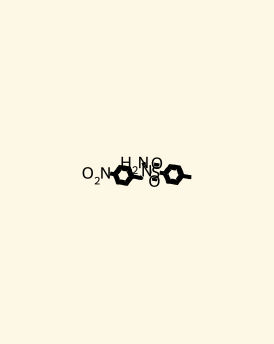 Cc1ccc(S(=O)(=O)N(N)Cc2ccc([N+](=O)[O-])cc2)cc1